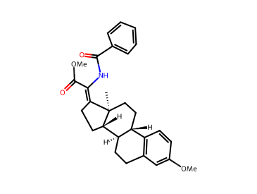 COC(=O)C(NC(=O)c1ccccc1)=C1CC[C@H]2[C@@H]3CCc4cc(OC)ccc4[C@H]3CC[C@]12C